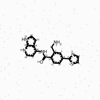 NCc1cc(-c2nccs2)ccc1C(=O)Nc1ccnc2[nH]ccc12